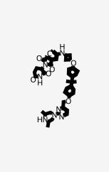 CC1CN(c2nccc(COc3ccc(C(C)(C)c4ccc(OC5CC(Nc6ccc7c(c6)C(=O)N(C6CCC(=O)NC6=O)C7=O)C5)cc4)cc3)n2)CC(C)N1